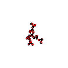 c1ccc(-n2c3ccccc3c3cc(-c4ccc5c(c4)c4ccccc4n5-c4cccc(-c5nc(-c6cccc(-n7c8ccccc8c8cc(-c9ccc%10c(c9)c9ccccc9n%10-c9ccccc9)ccc87)c6)nc(-c6cccc(-n7c8ccccc8c8cc(-c9ccc%10c(c9)c9ccccc9n%10-c9ccccc9)ccc87)c6)n5)c4)ccc32)cc1